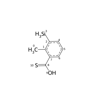 Cc1c([SiH3])cccc1C(O)=S